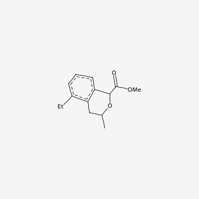 CCc1cccc2c1CC(C)OC2C(=O)OC